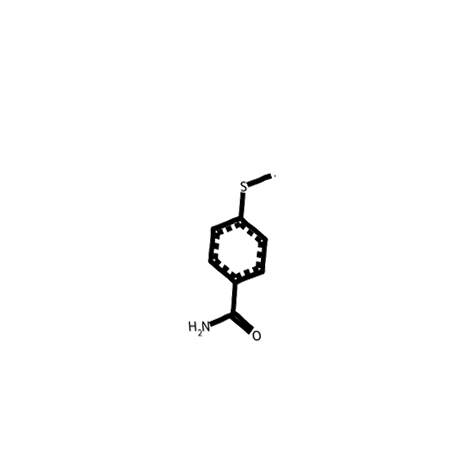 [CH2]Sc1ccc(C(N)=O)cc1